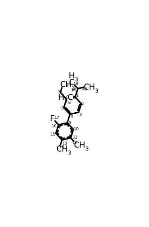 C=C(/C=C\C(=C/CCC)c1cc(C)c(C)cc1F)C(C)C